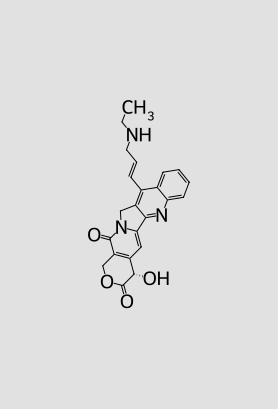 CCNC/C=C/c1c2c(nc3ccccc13)-c1cc3c(c(=O)n1C2)COC(=O)[C@H]3O